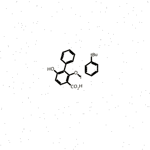 CC(C)(C)c1ccccc1.O=C(O)c1ccc(O)c(-c2ccccc2)c1OI